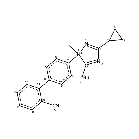 CCCCC1=NC(C2CC2)=N[N+]1(C)c1ccc(-c2ccccc2C#N)cc1